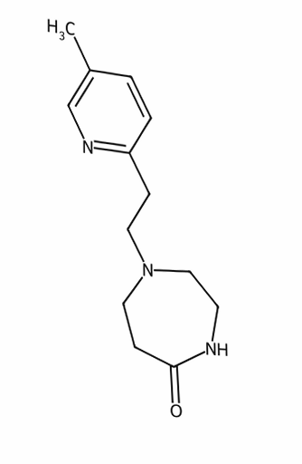 Cc1ccc(CCN2CCNC(=O)CC2)nc1